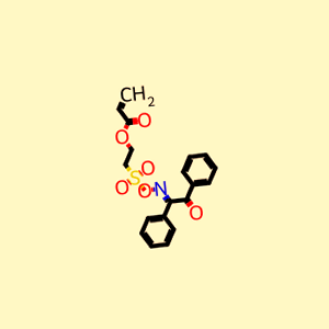 C=CC(=O)OCCS(=O)(=O)ON=C(C(=O)c1ccccc1)c1ccccc1